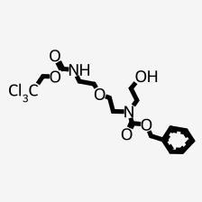 O=C(NCCOCCN(CCO)C(=O)OCc1ccccc1)OCC(Cl)(Cl)Cl